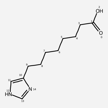 O=C(O)CCCCCCCc1c[nH]cn1